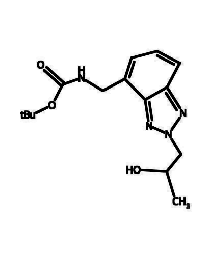 CC(O)Cn1nc2cccc(CNC(=O)OC(C)(C)C)c2n1